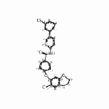 O=C(Nc1ccc(-c2cccc(Cl)c2)cn1)c1ccc(Oc2cc3c(cc2Cl)CCCO3)cc1